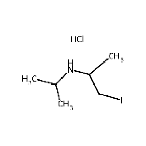 CC(C)NC(C)CI.Cl